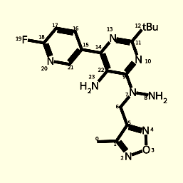 Cc1nonc1CN(N)c1nc(C(C)(C)C)nc(-c2ccc(F)nc2)c1N